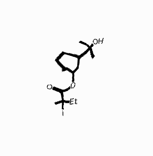 CCC(C)(I)C(=O)OC1CCCC(C(C)(C)O)C1